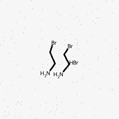 Br.NCCBr.NCCBr